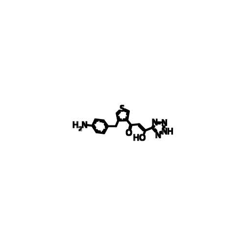 Nc1ccc(Cc2cscc2C(=O)C=C(O)c2nn[nH]n2)cc1